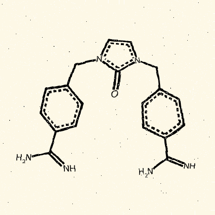 N=C(N)c1ccc(Cn2ccn(Cc3ccc(C(=N)N)cc3)c2=O)cc1